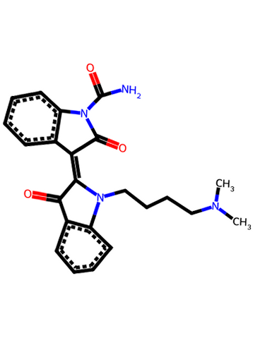 CN(C)CCCCN1C(=C2C(=O)N(C(N)=O)c3ccccc32)C(=O)c2ccccc21